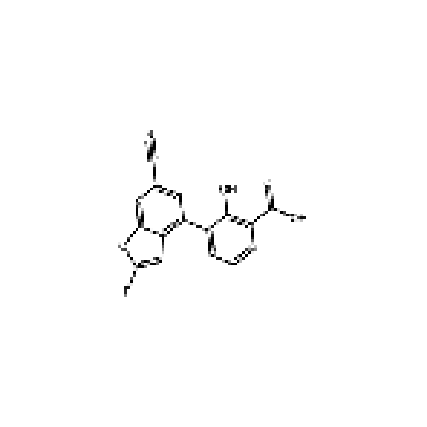 N#Cc1cc(-c2cccc(C(=O)O)c2O)c2cc(F)oc2c1